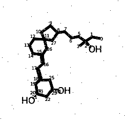 CCC(C)(O)CCCC1CCC2(CCCC(=CC=C3C[C@@H](O)C[C@H](O)C3)C2)C1